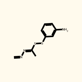 C=N/N=C(\C)SSc1cccc(N)c1